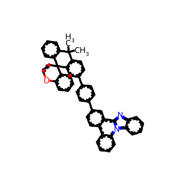 CC1(C)c2ccccc2C2(c3ccccc3Oc3ccccc32)c2cc(-c3ccc(-c4ccc5c6ccccc6n6c7ccccc7nc6c5c4)cc3)ccc21